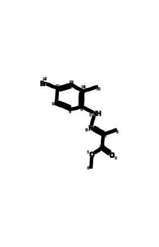 COC(=O)/C(C)=N/Nc1ccc(Br)cc1C